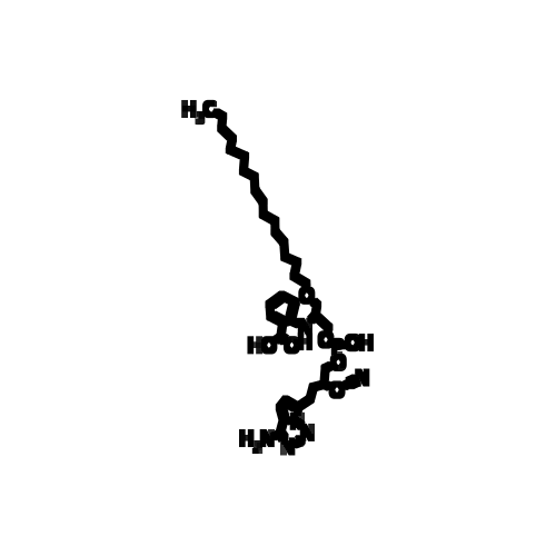 CCCCCCCCCCCCCCCCCCOCC(COP(O)OCC(CCc1ccc2c(N)ncnn12)OC#N)Nc1ccccc1C(=O)O